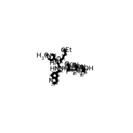 CCC(=O)CCCCC[C@H](NC(=O)C1CCN(C)CC1)c1ncc(-c2ccc3ncccc3c2)[nH]1.O=C(O)C(F)(F)F.O=C(O)C(F)(F)F.O=C(O)C(F)(F)F